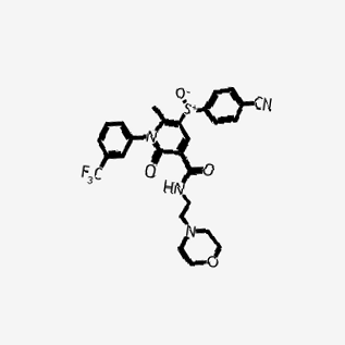 Cc1c([S+]([O-])c2ccc(C#N)cc2)cc(C(=O)NCCN2CCOCC2)c(=O)n1-c1cccc(C(F)(F)F)c1